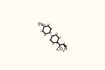 C=CC(C(=O)O)C1CCC([C@H]2CC[C@H](CC)CC2)CC1